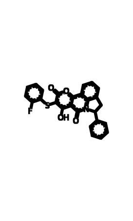 O=c1oc2c(c(O)c1Sc1ccccc1F)c(=O)n1c3c(cccc23)CC1c1ccccc1